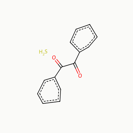 O=C(C(=O)c1ccccc1)c1ccccc1.S